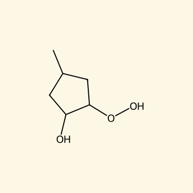 CC1CC(O)C(OO)C1